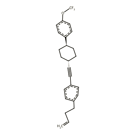 C=CCCc1ccc(C#C[C@H]2CC[C@H](c3ccc(OC(F)(F)F)cc3)CC2)cc1